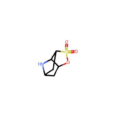 O=S1(=O)OC2CC3CC1C2N3